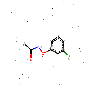 CCC(=O)NOc1cccc(Cl)c1